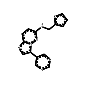 c1csc(CNc2ccc3ncc(-c4cncnc4)n3n2)c1